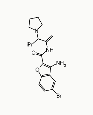 C=C(NC(=O)c1oc2ccc(Br)cc2c1N)C(C(C)C)N1CCCC1